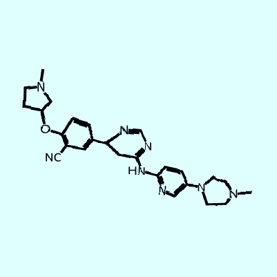 CN1CCN(c2ccc(NC3=NC=NC(c4ccc(OC5CCN(C)C5)c(C#N)c4)C3)nc2)CC1